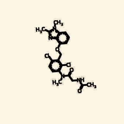 CC(=O)NCC(=O)N(C)c1ccc(Cl)c(COc2cccc3c2nc(C)n3C)c1Cl